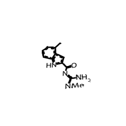 CNC(N)=NC(=O)c1cc2c(C)cccc2[nH]1